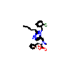 CCCCc1ncc(CN(C)[C@@H](Cc2cccs2)C(=O)O)n1Cc1ccccc1Cl